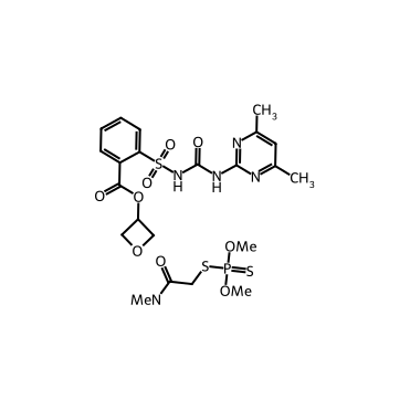 CNC(=O)CSP(=S)(OC)OC.Cc1cc(C)nc(NC(=O)NS(=O)(=O)c2ccccc2C(=O)OC2COC2)n1